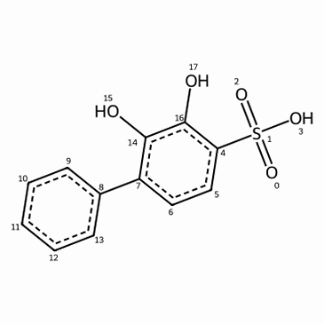 O=S(=O)(O)c1ccc(-c2ccccc2)c(O)c1O